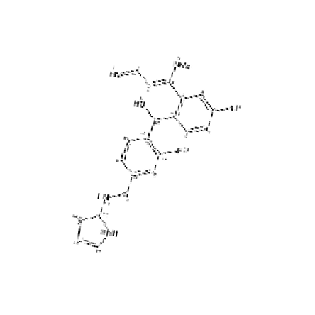 CN/C(=C\C=N)c1cc(Cl)ccc1C(O)c1ccc(SNC2NC=CS2)cc1F